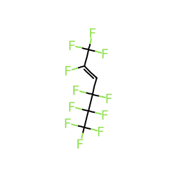 FC(=CC(F)(F)C(F)(F)C(F)(F)F)C(F)(F)F